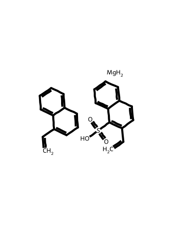 C=Cc1ccc2ccccc2c1S(=O)(=O)O.C=Cc1cccc2ccccc12.[MgH2]